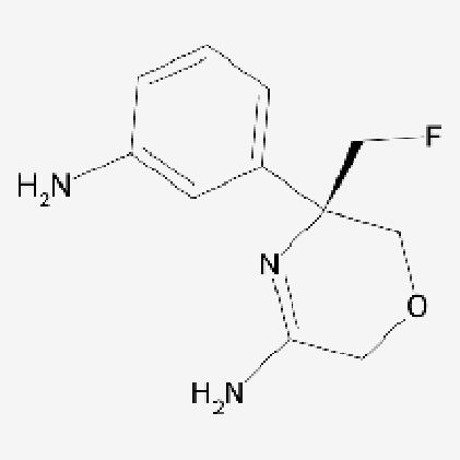 NC1=N[C@](CF)(c2cccc(N)c2)COC1